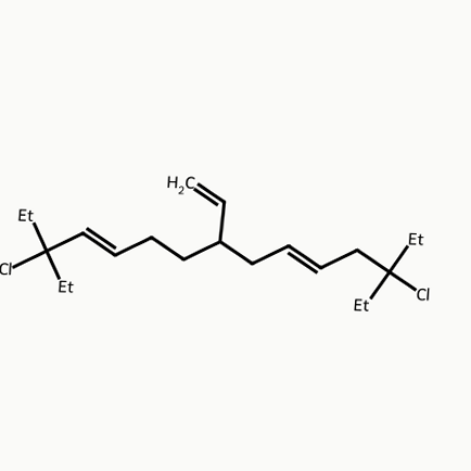 C=CC(C/C=C/CC(Cl)(CC)CC)CC/C=C/C(Cl)(CC)CC